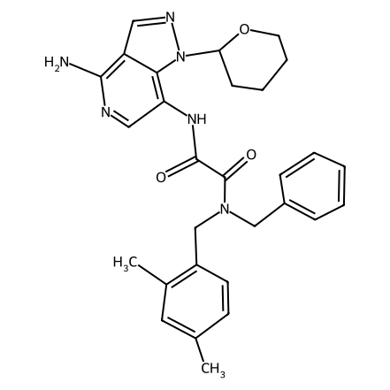 Cc1ccc(CN(Cc2ccccc2)C(=O)C(=O)Nc2cnc(N)c3cnn(C4CCCCO4)c23)c(C)c1